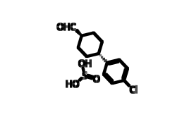 O=C[C@H]1CC[C@H](c2ccc(Cl)cc2)CC1.O=S(O)O